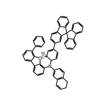 CC1C=C(c2ccc3c(c2)C2(c4ccccc4-c4ccccc42)c2ccccc2-3)C=CC1N(c1ccc2c(c1)C=CCC2)c1cccc2c1oc1c(-c3ccccc3)cccc12